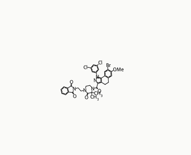 COc1cc2c(cc1Br)-c1c(c(C(=O)N3CCN(CCN4C(=O)c5ccccc5C4=O)C(=O)C3(C)C)nn1-c1cc(Cl)cc(Cl)c1)CC2